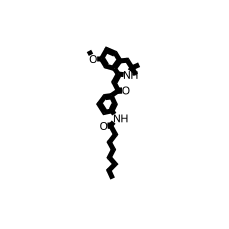 CCCCCCCC(=O)Nc1cccc(C(=O)/C=C2\NC(C)(C)Cc3ccc(OC)cc32)c1